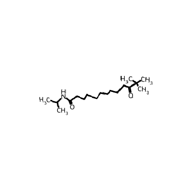 CC(C)NC(=O)CCCCCCCCCC(=O)C(C)(C)C